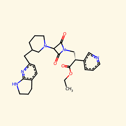 CCOC(=O)[C@H](CN1C(=O)C(N2CCCC(Cc3ccc4c(n3)NCCC4)C2)C1=O)c1cccnc1